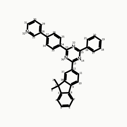 CC1(C)c2ccccc2-c2ccc(-c3nc(-c4ccccc4)nc(-c4ccc(-c5cccnc5)cc4)n3)cc21